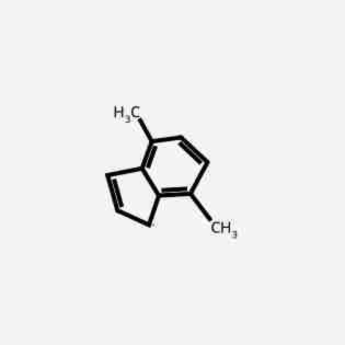 Cc1ccc(C)c2c1[CH]C=C2